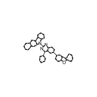 c1ccc(-c2nc(-n3c4ccccc4c4cc5ccccc5cc43)nc3ccc(-c4ccc5oc6ccccc6c5c4)cc23)cc1